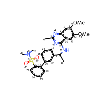 COc1cc2nc(C)nc(NC(C)c3cccc(-c4ccccc4S(=O)(=O)N(C)C)c3)c2cc1OC